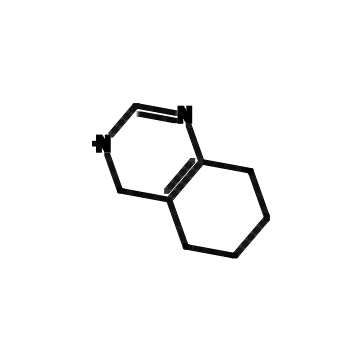 C1=NC2=C(CCCC2)C[N]1